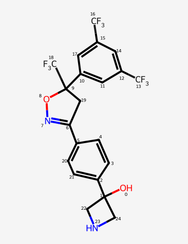 OC1(c2ccc(C3=NOC(c4cc(C(F)(F)F)cc(C(F)(F)F)c4)(C(F)(F)F)C3)cc2)CNC1